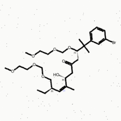 CC[C@H](/C=C(/C)[C@H](O)CC(=O)C[C@H](OCOCCOC)C(C)(C)c1cccc(Br)c1)COCOCCOC